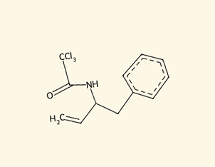 C=CC(Cc1ccccc1)NC(=O)C(Cl)(Cl)Cl